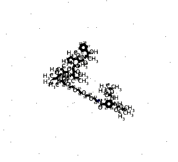 CCC(C)C(C(CC(=O)N1CCCC1C(OC)C(C)C(=O)N[C@@H](C)[C@H](O)c1ccccc1)OC)N(C)C(=O)[C@@H](NC(=O)C(C(C)C)N(C)C(=O)COCCOCCOCCOC/C=N/C(=O)c1ccc(NC(=O)OC(C)(C)C)c(NC(=O)OC(C)(C)C)c1)C(C)C